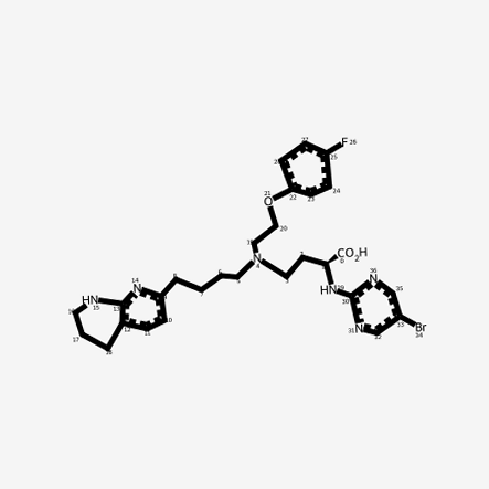 O=C(O)[C@H](CCN(CCCCc1ccc2c(n1)NCCC2)CCOc1ccc(F)cc1)Nc1ncc(Br)cn1